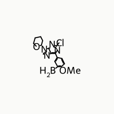 Bc1cc(-c2nc(Cl)nc3c2ncn3C2CCCCO2)ccc1OC